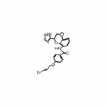 CC/C=C/COc1ccc(C(=O)Nc2cccc3c2OC(c2nnn[nH]2)CO3)cc1